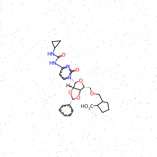 O=C(Nc1ccn([C@@H]2O[C@H](COCC3CCCC3C(=O)O)C3O[C@H](c4ccccc4)O[C@@H]32)c(=O)n1)NC1CC1